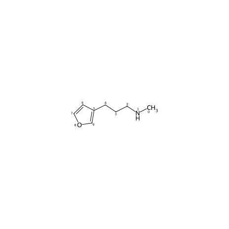 CNCCCc1ccoc1